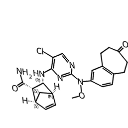 CON(c1ccc2c(c1)CCC(=O)CC2)c1ncc(Cl)c(N[C@H]2[C@@H](C(N)=O)[C@@H]3C=C[C@H]2C3)n1